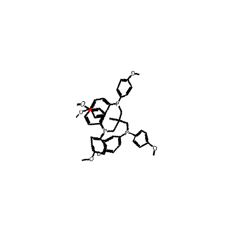 COc1ccc(P(CC(C)(CP(c2ccc(OC)cc2)c2ccc(OC)cc2)CP(c2ccc(OC)cc2)c2ccc(OC)cc2)c2ccc(OC)cc2)cc1